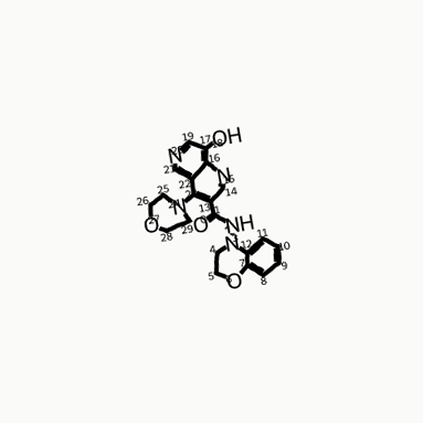 O=C(NN1CCOc2ccccc21)c1cnc2c(O)cncc2c1N1CCOCC1